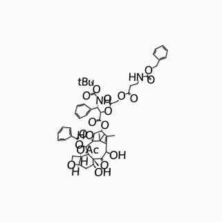 CC(=O)O[C@@]12CO[C@@H]1C[C@H](O)[C@@]1(C)C(=O)[C@H](O)C3=C(C)[C@@H](OC(=O)[C@H](OC(=O)COC(=O)CCNC(=O)OCc4ccccc4)[C@@H](NC(=O)OC(C)(C)C)c4ccccc4)C[C@@](O)(C(OC(=O)c4ccccc4)[C@H]21)C3(C)C